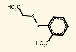 O=C(O)CSSc1ccccc1C(=O)O